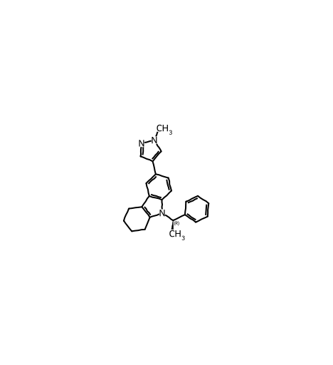 C[C@H](c1ccccc1)n1c2c(c3cc(-c4cnn(C)c4)ccc31)CCCC2